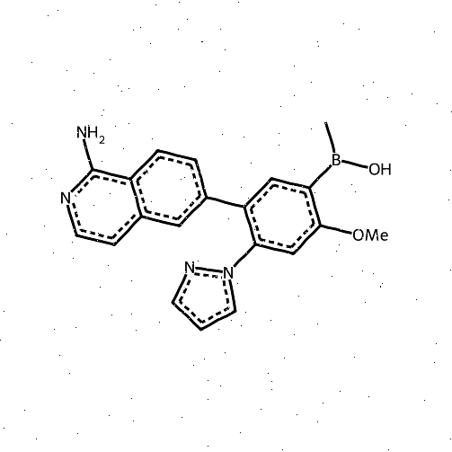 COc1cc(-n2cccn2)c(-c2ccc3c(N)nccc3c2)cc1B(C)O